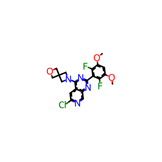 COc1cc(OC)c(F)c(-c2nc(N3CC4(COC4)C3)c3cc(Cl)ncc3n2)c1F